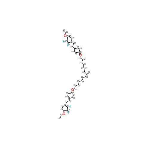 CCOc1ccc(CCc2ccc(OCCCCCCCC(C)CCCCCCCOc3ccc(CCc4ccc(OCC)c(F)c4F)cc3)cc2)c(F)c1F